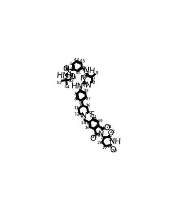 Cc1cnc(Nc2ccc(C3CCN(Cc4cc5c(cc4F)C(=O)N(C4CCC(=O)NC4=O)C5=O)CC3)cc2)nc1Nc1cccc(S(=O)(=O)NC(C)(C)C)c1